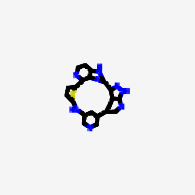 c1cc2[nH]c3nc2c(n1)c1ccc([nH]c2cncc(c2)c2cnc4[nH]nc3c4c2)s1